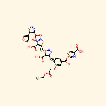 CCOC(=O)COc1cccc(C(=O)O)c1.Cc1nnsc1C(=O)O.Cc1snnc1C(=O)O.O=C(O)c1cscn1.O=C(O)c1nnsc1-c1ccoc1